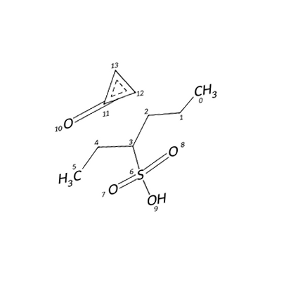 CCCC(CC)S(=O)(=O)O.O=c1cc1